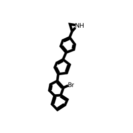 Brc1c(-c2ccc(-c3ccc(C4CN4)cc3)cc2)ccc2ccccc12